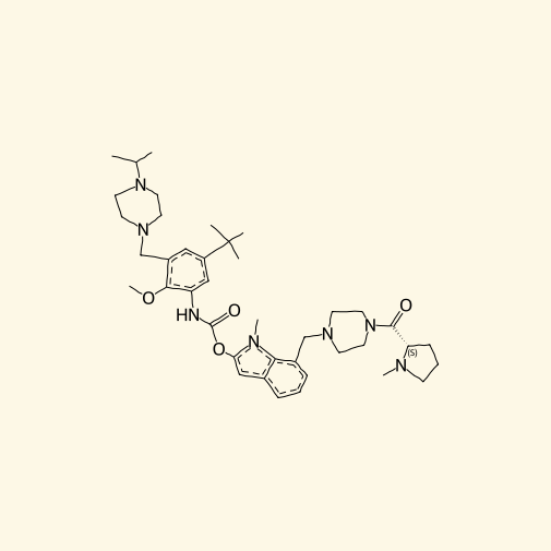 COc1c(CN2CCN(C(C)C)CC2)cc(C(C)(C)C)cc1NC(=O)Oc1cc2cccc(CN3CCN(C(=O)[C@@H]4CCCN4C)CC3)c2n1C